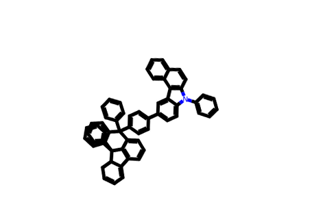 C1=CCC2C(=C1)c1cccc3c1C2(c1ccccc1)c1ccccc1C3(c1ccccc1)c1ccc(-c2ccc3c(c2)c2c4ccccc4ccc2n3-c2ccccc2)cc1